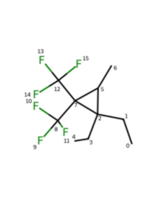 CCC1(CC)C(C)C1(C(F)(F)F)C(F)(F)F